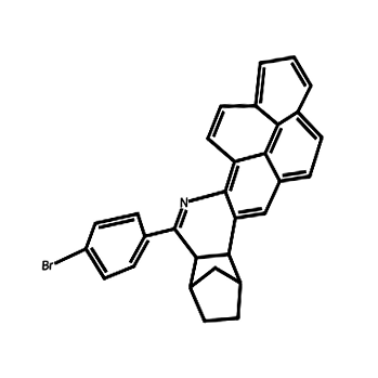 Brc1ccc(C2=Nc3c(cc4ccc5cccc6ccc3c4c56)C3C4CCC(C4)C23)cc1